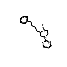 FN1CCN(c2ncccn2)CC1CCCCc1ccccc1